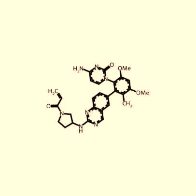 C=CC(=O)N1CCC(Nc2ncc3cc(-c4c(C)c(OC)cc(OC)c4-n4ccc(N)nc4=O)ccc3n2)C1